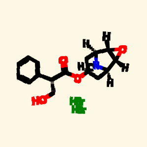 Br.Br.CN1[C@@H]2C[C@@H](OC(=O)[C@H](CO)c3ccccc3)C[C@H]1[C@@H]1O[C@@H]12